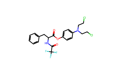 O=C(Oc1ccc(N(CCCl)CCCl)cc1)C(Cc1ccccc1)NC(=O)C(F)(F)F